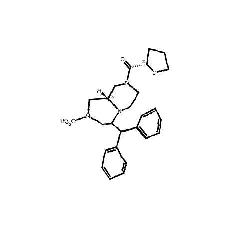 O=C(O)N1CC(C(c2ccccc2)c2ccccc2)N2CCN(C(=O)[C@@H]3CCCO3)C[C@H]2C1